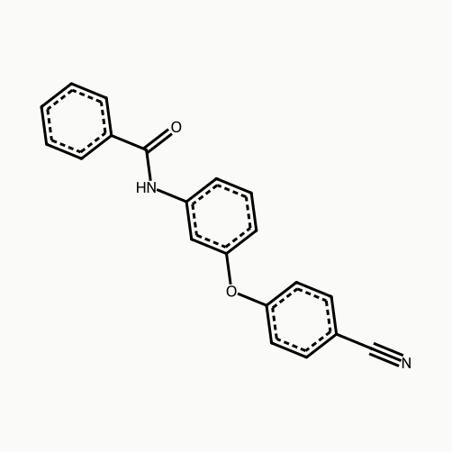 N#Cc1ccc(Oc2cccc(NC(=O)c3ccccc3)c2)cc1